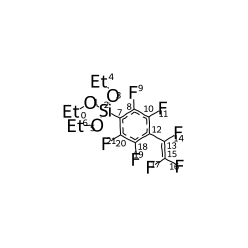 CCO[Si](OCC)(OCC)c1c(F)c(F)c(C(F)=C(F)F)c(F)c1F